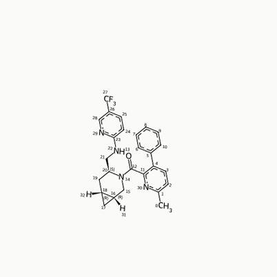 Cc1ccc(-c2ccccc2)c(C(=O)N2C[C@@H]3C[C@@H]3C[C@H]2CNc2ccc(C(F)(F)F)cn2)n1